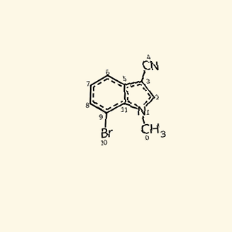 Cn1cc(C#N)c2cccc(Br)c21